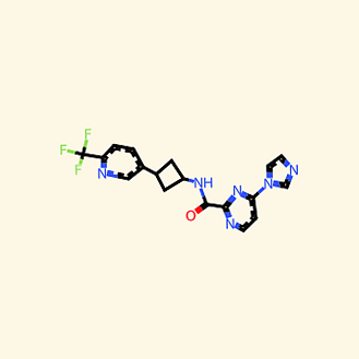 O=C(NC1CC(c2ccc(C(F)(F)F)nc2)C1)c1nccc(-n2ccnc2)n1